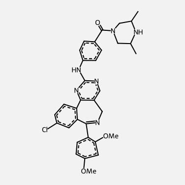 COc1ccc(C2=NCc3cnc(Nc4ccc(C(=O)N5CC(C)NC(C)C5)cc4)nc3-c3ccc(Cl)cc32)c(OC)c1